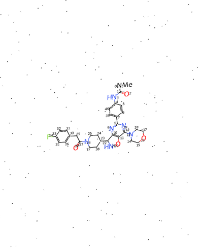 CNC(=O)Nc1ccc(-c2nc3c(c(N4CCOCC4)n2)ONC3C2CCN(C(=O)Cc3ccc(F)cc3)CC2)cc1